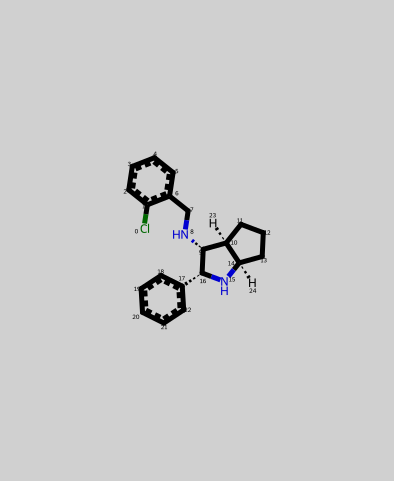 Clc1ccccc1CN[C@@H]1[C@H]2CCC[C@H]2N[C@@H]1c1ccccc1